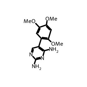 COc1cc(OC)c(-c2cnc(N)nc2N)cc1OC